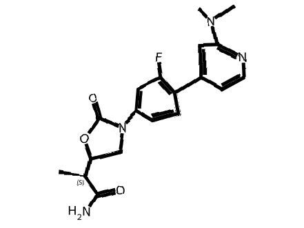 C[C@H](C(N)=O)C1CN(c2ccc(-c3ccnc(N(C)C)c3)c(F)c2)C(=O)O1